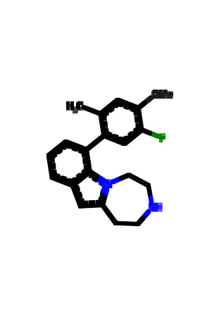 COc1cc(C)c(-c2cccc3cc4n(c23)CCNCC4)cc1F